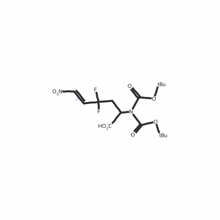 CC(C)(C)OC(=O)N(C(=O)OC(C)(C)C)C(CC(F)(F)/C=C/[N+](=O)[O-])C(=O)O